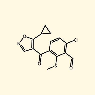 CSc1c(C(=O)c2cnoc2C2CC2)ccc(Cl)c1C=O